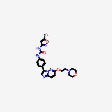 CC(C)(C)c1cc(NC(=O)Nc2ccc(-c3cnc4ccc(OCCN5CCOCC5)nn34)cc2)no1